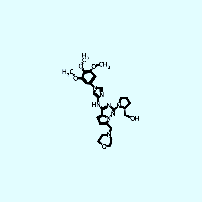 COc1cc(-n2cnc(Nc3nc(N4CCC[C@H]4CO)nn4c(CN5CCOCC5)ccc34)c2)cc(OC)c1OC